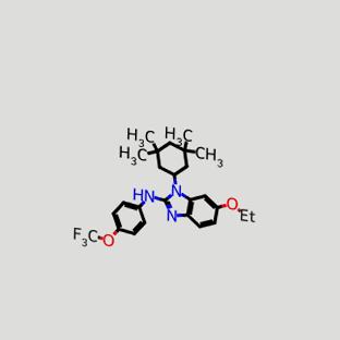 CCOc1ccc2nc(Nc3ccc(OC(F)(F)F)cc3)n(C3CC(C)(C)CC(C)(C)C3)c2c1